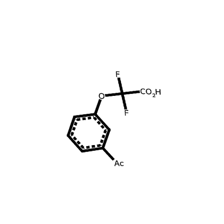 CC(=O)c1cccc(OC(F)(F)C(=O)O)c1